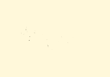 CCCCCCCCCCCCCC(=O)OC.S